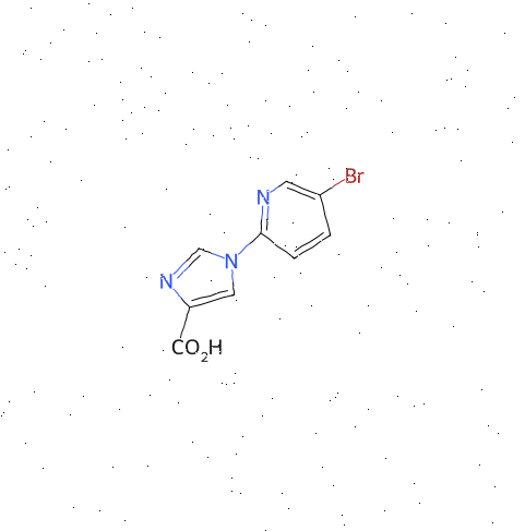 O=C(O)c1cn(-c2ccc(Br)cn2)cn1